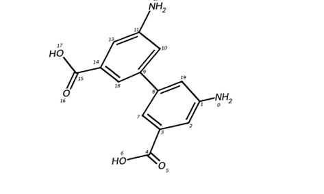 Nc1cc(C(=O)O)cc(-c2cc(N)cc(C(=O)O)c2)c1